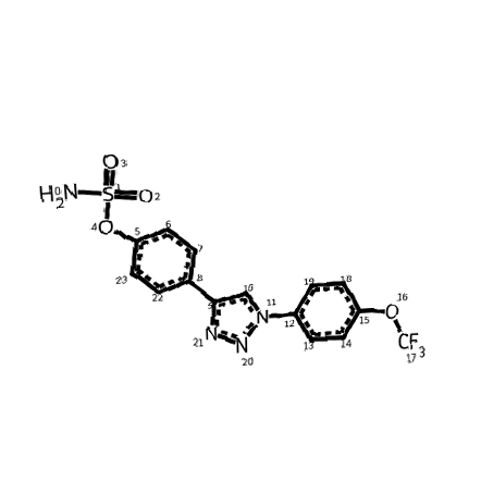 NS(=O)(=O)Oc1ccc(-c2cn(-c3ccc(OC(F)(F)F)cc3)nn2)cc1